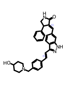 O=C1NCC(c2ccccc2)/C1=C\c1ccc2c(/C=C/c3ccc(CN4CCC(O)CC4)cc3)n[nH]c2c1